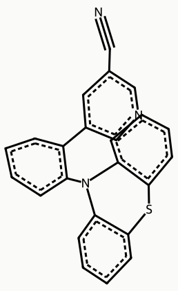 N#Cc1cncc(-c2ccccc2N2c3ccccc3Sc3ccccc32)c1